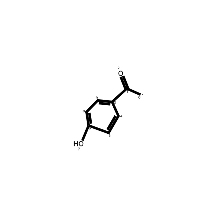 [CH2]C(=O)c1ccc(O)cc1